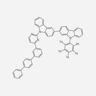 [2H]c1c([2H])c([2H])c(-n2c3ccccc3c3ccc(-c4ccc5c(c4)c4ccccc4n5-c4nccc(-c5cccc(-c6ccc(-c7ccccc7)cc6)c5)n4)cc32)c([2H])c1[2H]